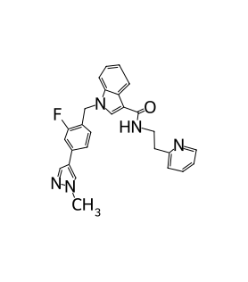 Cn1cc(-c2ccc(Cn3cc(C(=O)NCCc4ccccn4)c4ccccc43)c(F)c2)cn1